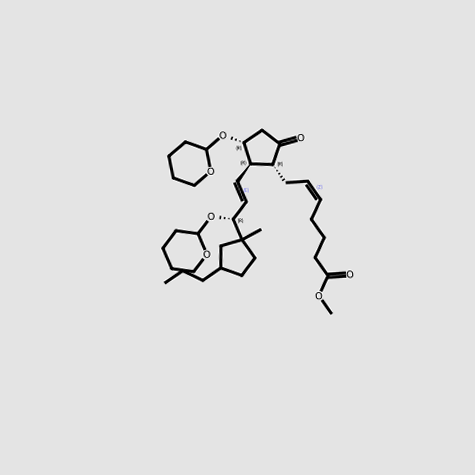 CCCC1CCC(C)([C@@H](/C=C/[C@H]2[C@H](OC3CCCCO3)CC(=O)[C@@H]2C/C=C\CCCC(=O)OC)OC2CCCCO2)C1